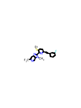 CCSc1ccc(C#Cc2cccc(F)c2)nc1-c1nc2cc(C(F)(F)F)ncc2n1C